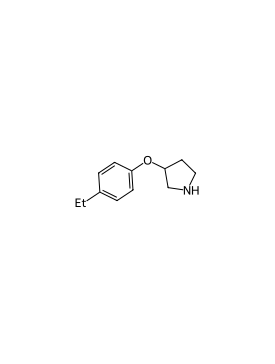 CCc1ccc(OC2CCNC2)cc1